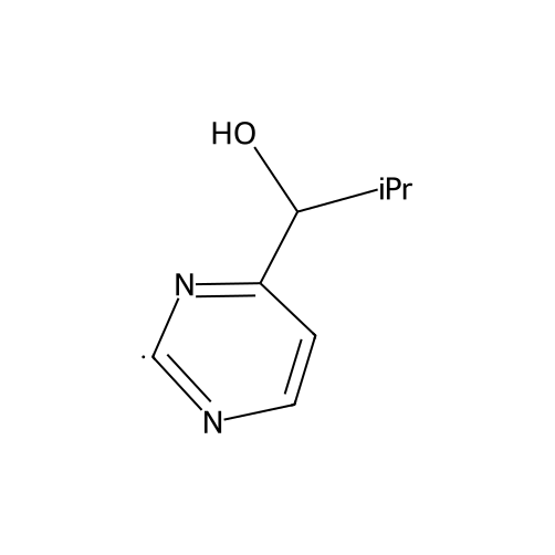 CC(C)C(O)c1ccn[c]n1